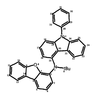 CC(C)(C)N(c1cccc2c1oc1ccccc12)c1cccc2c1c1ccccc1n2-c1ccccc1